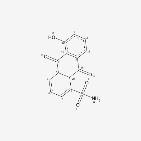 NS(=O)(=O)C1=CC=CC2C(=O)c3c(O)cccc3C(=O)C12